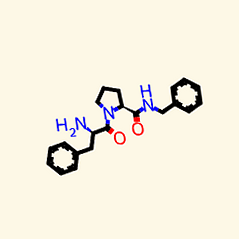 N[C@H](Cc1ccccc1)C(=O)N1CCC[C@H]1C(=O)NCc1ccccc1